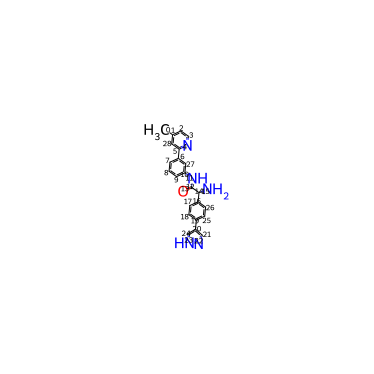 Cc1ccnc(-c2cccc(NC(=O)C(N)c3ccc(-c4cn[nH]c4)cc3)c2)c1